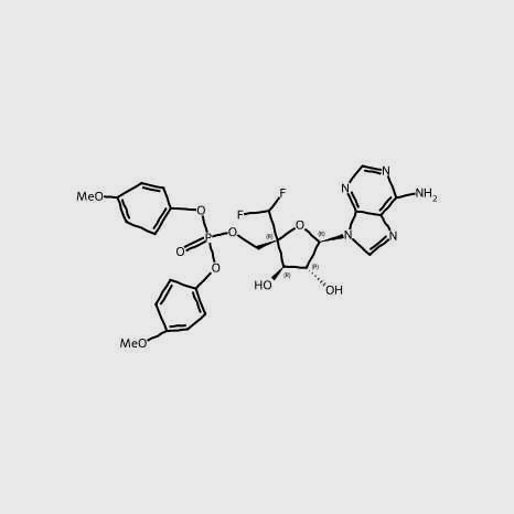 COc1ccc(OP(=O)(OC[C@@]2(C(F)F)O[C@@H](n3cnc4c(N)ncnc43)[C@H](O)[C@H]2O)Oc2ccc(OC)cc2)cc1